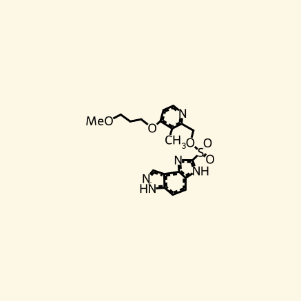 COCCCOc1ccnc(COS(=O)(=O)c2nc3c(ccc4[nH]ncc43)[nH]2)c1C